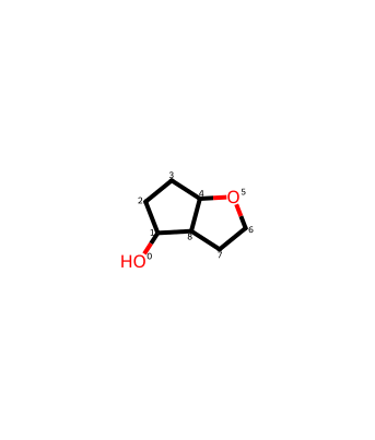 OC1CCC2OCCC12